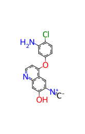 [C-]#[N+]c1cc2c(Oc3ccc(Cl)c(N)c3)ccnc2cc1O